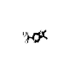 Cc1sc2cc(C(N)=O)ncc2c1C